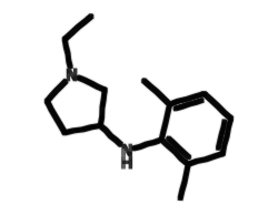 CCN1CCC(Nc2c(C)cccc2C)C1